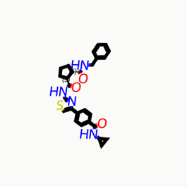 O=C(NC1CC1)c1ccc(-c2csc(NC(=O)[C@H]3CCC[C@@H]3C(=O)NCc3ccccc3)n2)cc1